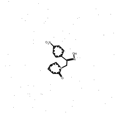 O=c1ccccn1C/C(=N/O)c1ccc([N+](=O)[O-])cc1